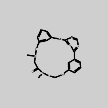 CN1CC(=O)N(C)CCNc2cccc(c2)-c2ncnc(n2)Nc2cccc(c2)C1